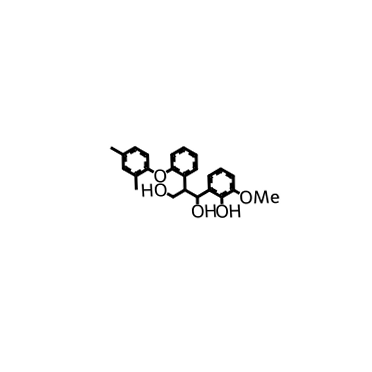 COc1cccc(C(O)C(CO)c2ccccc2Oc2ccc(C)cc2C)c1O